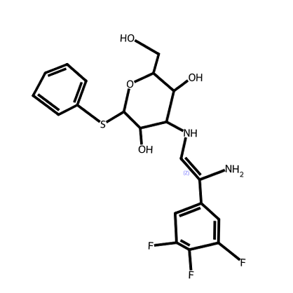 N/C(=C\NC1C(O)C(CO)OC(Sc2ccccc2)C1O)c1cc(F)c(F)c(F)c1